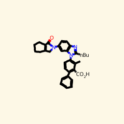 CCCCc1nc2ccc(N3CC4=C(CCCC4)C3=O)cc2n1-c1ccc(-c2ccccc2)c(C(=O)O)c1C